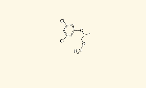 CC(CON)Oc1cc(Cl)cc(Cl)c1